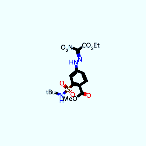 CCOC(=O)C(=NNc1ccc(C(=O)OC)c(S(=O)(=O)NC(C)(C)C)c1)[N+](=O)[O-]